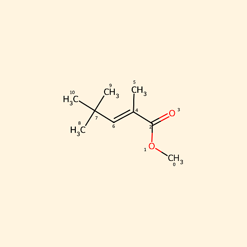 COC(=O)C(C)=CC(C)(C)C